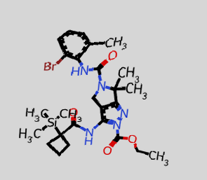 CCOC(=O)n1nc2c(c1NC(=O)C1([Si](C)(C)C)CCC1)CN(C(=O)Nc1c(C)cccc1Br)C2(C)C